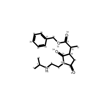 CC(C)NCCN1C(=O)CC(C(C)C(=O)OCc2ccccc2)C1=O